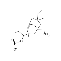 CCC(O[N+](=O)[O-])C1(C)C=C2CC(C)(CC)CC(CN)(C2)C1